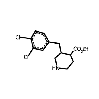 CCOC(=O)C1CCNCC1Cc1ccc(Cl)c(Cl)c1